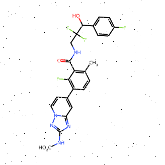 Cc1ccc(-c2ccn3nc(NC(=O)O)nc3c2)c(F)c1C(=O)NCC(F)(F)C(O)c1ccc(F)cc1